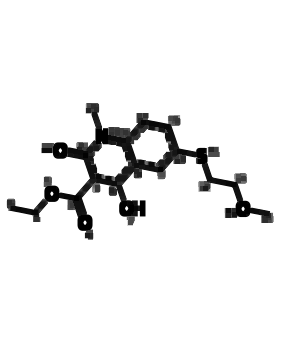 CCOC(=O)c1c(O)c2cc(SCCOC)ccc2n(C)c1=O